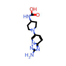 Nc1nc2ccc(N3CCC(NC(=O)O)CC3)cn2n1